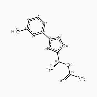 Cc1cccc(-c2noc([C@H](C)OC(N)=O)n2)c1